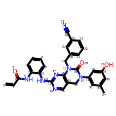 C=CC(=O)Nc1ccccc1Nc1ncc2c(n1)N(Cc1cccc(C#N)c1)C(=O)N(c1cc(C)cc(O)c1)C2